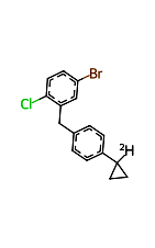 [2H]C1(c2ccc(Cc3cc(Br)ccc3Cl)cc2)CC1